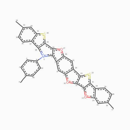 Cc1ccc(-n2c3c4cc5oc6c7oc8cc(C)ccc8c7sc6c5cc4oc3c3sc4cc(C)ccc4c32)cc1